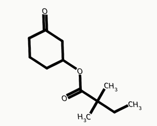 CCC(C)(C)C(=O)OC1CCCC(=O)C1